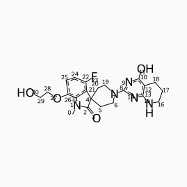 CN1C(=O)C2(CCN(c3nc(O)c4c(n3)NCCC4)CC2)c2c(F)ccc(OCCO)c21